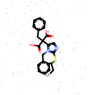 CCCSc1ncc(C(Cc2ccccc2)(C(=O)O)C(=O)O)n1Cc1ccccc1Cl